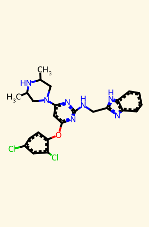 CC1CN(c2cc(Oc3ccc(Cl)cc3Cl)nc(NCc3nc4ccccc4[nH]3)n2)CC(C)N1